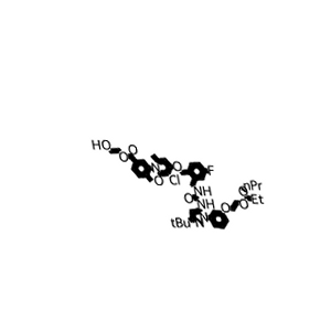 CCCOC(CC)OCCOc1cccc(-n2nc(C(C)(C)C)cc2NC(=O)NCc2cc(F)ccc2COc2cc(C)n(-c3cc(C(=O)OCCO)ccc3C)c(=O)c2Cl)c1